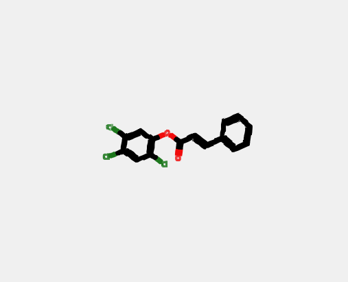 O=C(C=Cc1ccccc1)Oc1cc(Cl)c(Cl)cc1Cl